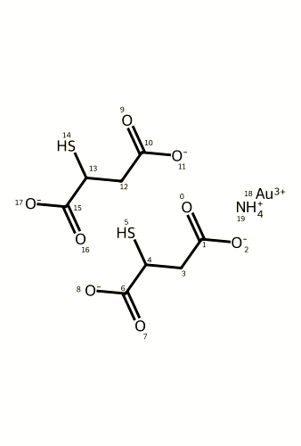 O=C([O-])CC(S)C(=O)[O-].O=C([O-])CC(S)C(=O)[O-].[Au+3].[NH4+]